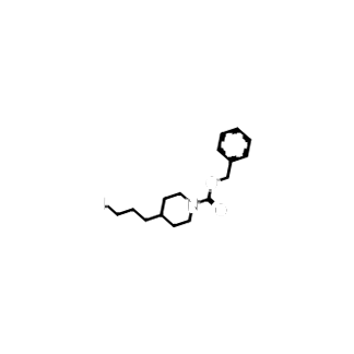 O=C(OCc1ccccc1)N1CCC(CCCI)CC1